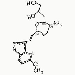 COc1ccc2nccc(C=C[C@@H]3CC[C@@H](N)[C@@H](CC(O)CO)O3)c2n1